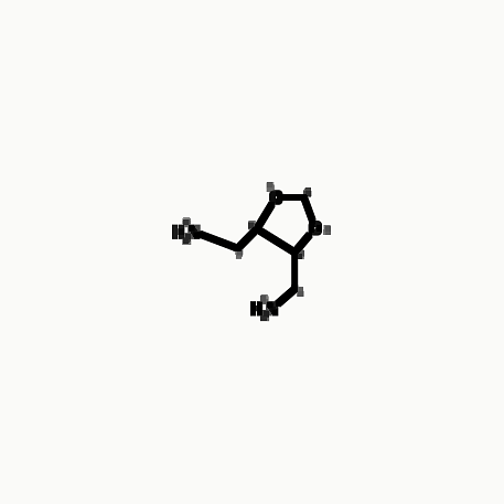 NCC1OCOC1CN